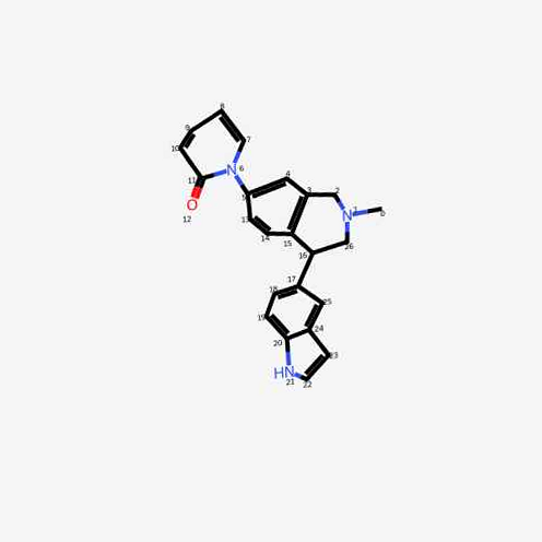 CN1Cc2cc(-n3ccccc3=O)ccc2C(c2ccc3[nH]ccc3c2)C1